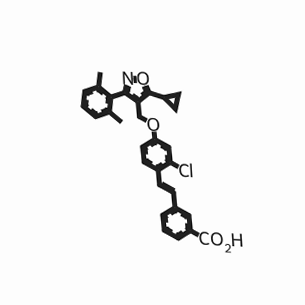 Cc1cccc(C)c1-c1noc(C2CC2)c1COc1ccc(/C=C/c2cccc(C(=O)O)c2)c(Cl)c1